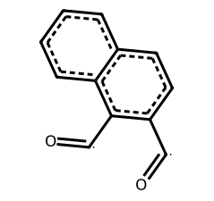 O=[C]c1ccc2ccccc2c1[C]=O